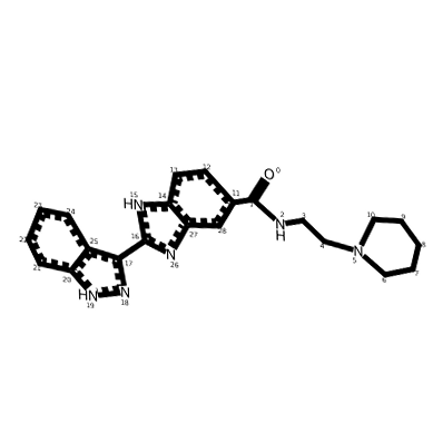 O=C(NCCN1CCCCC1)c1ccc2[nH]c(-c3n[nH]c4ccccc34)nc2c1